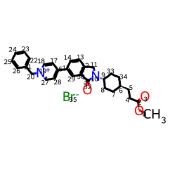 COC(=O)CC[C@H]1CC[C@H](N2Cc3ccc(-c4cc[n+](Cc5ccccc5)cc4)cc3C2=O)CC1.[Br-]